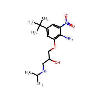 CC(C)NCC(O)COc1cc(C(C)(C)C)cc([N+](=O)[O-])c1N